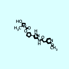 COc1cc(CC(=O)Nc2cc([C@H]3CC[C@@H](OC(=O)N4C[C@H](O)[C@H]4C)C3)[nH]n2)ccn1